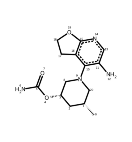 C[C@@H]1C[C@H](OC(N)=O)CN(c2c(N)cnc3c2CCO3)C1